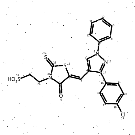 O=C1C(=Cc2cn(-c3ccccc3)nc2-c2ccc(Cl)cc2)SC(=S)N1CCS(=O)(=O)O